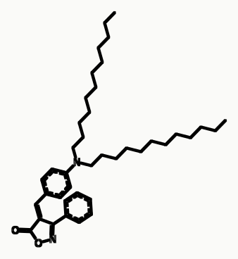 CCCCCCCCCCCCN(CCCCCCCCCCCC)c1ccc(/C=C2/C(=O)ON=C2c2ccccc2)cc1